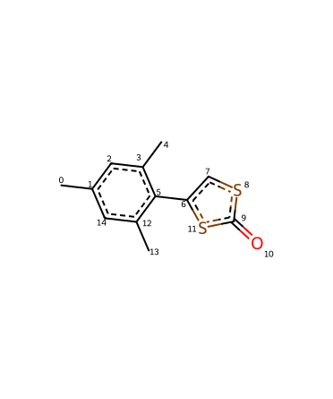 Cc1cc(C)c(-c2csc(=O)s2)c(C)c1